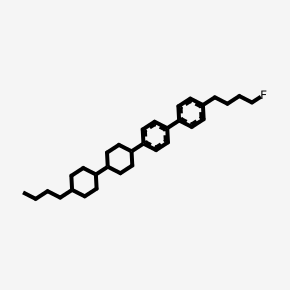 CCCCC1CCC(C2CCC(c3ccc(-c4ccc(CCCCF)cc4)cc3)CC2)CC1